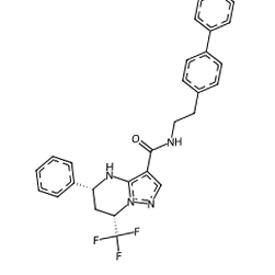 O=C(NCCc1ccc(-c2ccccc2)cc1)c1cnn2c1N[C@@H](c1ccccc1)C[C@H]2C(F)(F)F